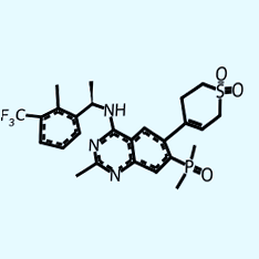 Cc1nc(N[C@H](C)c2cccc(C(F)(F)F)c2C)c2cc(C3=CCS(=O)(=O)CC3)c(P(C)(C)=O)cc2n1